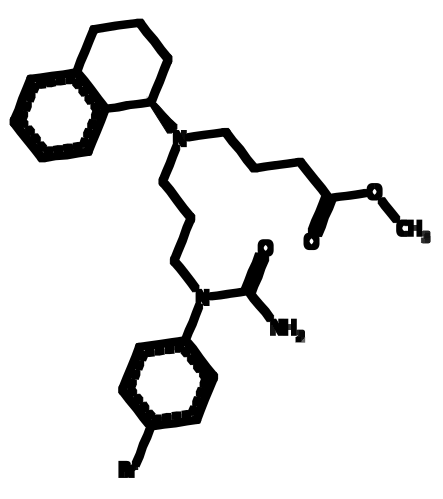 COC(=O)CCCN(CCCN(C(N)=O)c1ccc(Br)cc1)[C@@H]1CCCc2ccccc21